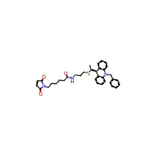 CC(SCCCNC(=O)CCCCCN1C(=O)C=CC1=O)=C1c2ccccc2N(Cc2ccccc2)c2ccccc21